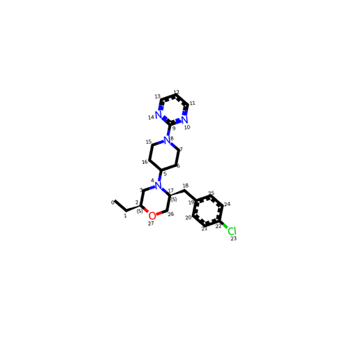 CC[C@H]1CN(C2CCN(c3ncccn3)CC2)[C@@H](Cc2ccc(Cl)cc2)CO1